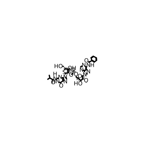 CO[C@H]1[C@H](n2cnc3c(NC(=O)c4ccccc4)ncnc32)O[C@](C)(COP(O)O[C@@H]2[C@H](O)[C@@H](CO)S[C@H]2n2cnc3c(=O)[nH]c(NC(=O)C(C)C)nc32)[C@H]1O